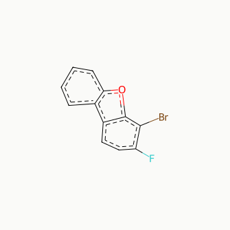 Fc1ccc2c(oc3ccccc32)c1Br